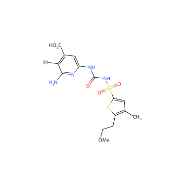 CCc1c(C(=O)O)cc(NC(=O)NS(=O)(=O)c2cc(C)c(CCOC)s2)nc1N